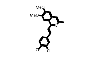 COc1cc2cc(C)nc(C=Cc3ccc(Cl)c(Cl)c3)c2cc1OC